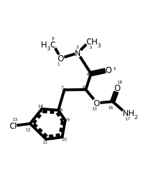 CON(C)C(=O)C(Cc1cccc(Cl)c1)OC(N)=O